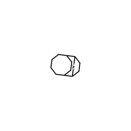 C1CCC2CCC(C1)C1CCC2CC1